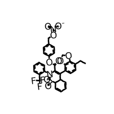 CCc1ccc(C2=C(C(=O)Oc3ccc(CO[N+](=O)[O-])cc3)N(c3ccccc3C(F)(F)F)S(=O)(=O)C3C=CC=CC23)c2c1OCO2